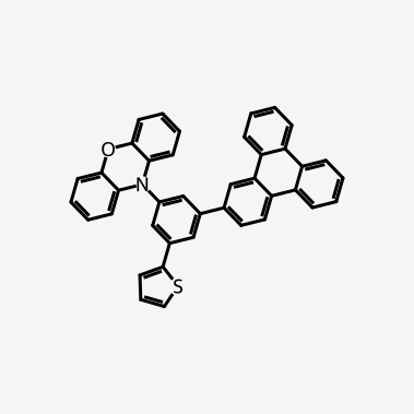 c1csc(-c2cc(-c3ccc4c5ccccc5c5ccccc5c4c3)cc(N3c4ccccc4Oc4ccccc43)c2)c1